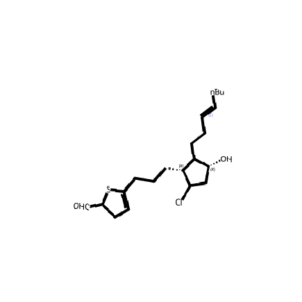 CCCC/C=C/CCC1[C@@H](CCCC2=CCC(C=O)S2)C(Cl)C[C@H]1O